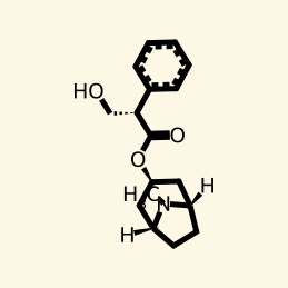 CN1[C@@H]2CC[C@H]1C[C@H](OC(=O)[C@H](CO)c1ccccc1)C2